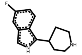 Fc1ccc2c(C3CCNCC3)[nH]cc2c1